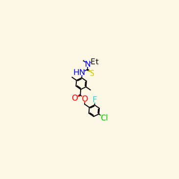 CCN(C)C(=S)Nc1cc(C)c(C(=O)OCc2ccc(Cl)cc2F)cc1C